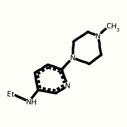 CCNc1ccc(N2CCN(C)CC2)nc1